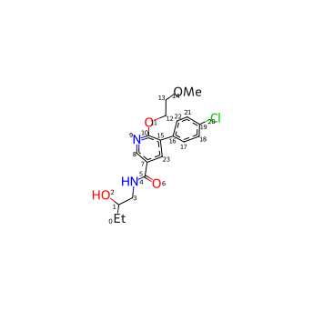 CCC(O)CNC(=O)c1cnc(OCCOC)c(-c2ccc(Cl)cc2)c1